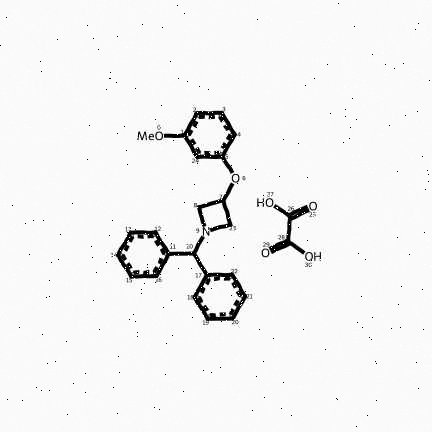 COc1cccc(OC2CN(C(c3ccccc3)c3ccccc3)C2)c1.O=C(O)C(=O)O